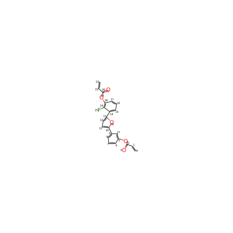 C=CC(=O)Oc1cccc(-c2ccc(-c3cccc(OC(=O)C=C)c3F)o2)c1